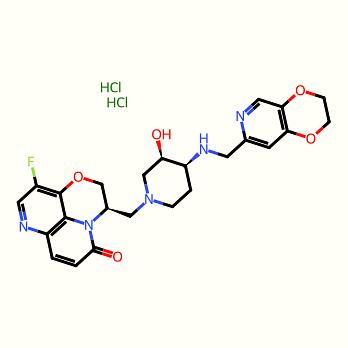 Cl.Cl.O=c1ccc2ncc(F)c3c2n1[C@H](CN1CC[C@H](NCc2cc4c(cn2)OCCO4)[C@H](O)C1)CO3